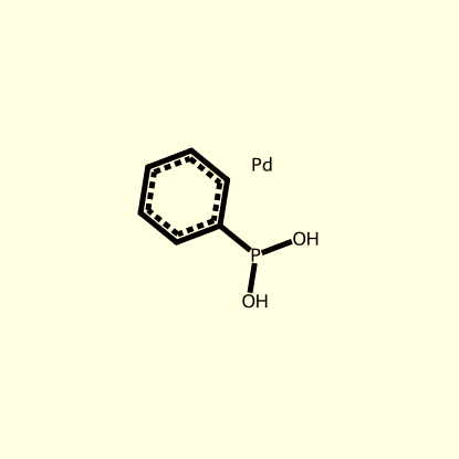 OP(O)c1ccccc1.[Pd]